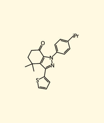 CC(C)c1ccc(-n2nc(-c3cccs3)c3c2C(=O)CCC3(C)C)cc1